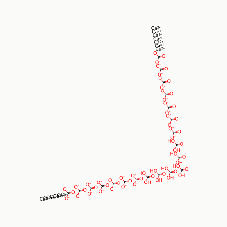 O=C(O)O.O=C(O)O.O=C(O)O.O=C(O)O.O=C(O)O.O=C(O)O.O=C([O-])[O-].O=C([O-])[O-].O=C([O-])[O-].O=C([O-])[O-].O=C([O-])[O-].O=C([O-])[O-].O=C([O-])[O-].O=C([O-])[O-].O=C([O-])[O-].O=C([O-])[O-].O=C([O-])[O-].O=C([O-])[O-].O=C([O-])[O-].O=C([O-])[O-].[Ca+2].[Ca+2].[Ca+2].[Ca+2].[Ca+2].[Ca+2].[Ca+2].[Ca+2].[Ca+2].[Ca+2].[Ca+2].[Ca+2].[Ca+2].[Ca+2]